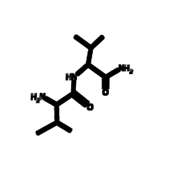 CC(C)C(N)C(=O)NC(C(N)=O)C(C)C